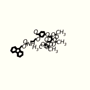 COC(=O)[C@H]1O[C@@H](Oc2ccc(C=O)c(OCCCNC(=O)OCC3c4ccccc4-c4ccccc43)c2)[C@H](OC(C)=O)[C@@H](OC(C)=O)[C@@H]1OC(C)=O